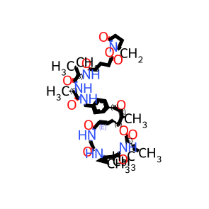 C=C1CCC(=O)N1OC(=O)CCCC(=O)N[C@H](C(=O)N[C@@H](C)C(=O)NCc1ccc([C@H]2O[C@@H]2[C@@H](C)[C@@H]2C/C=C/C(=O)NCC(=O)NC3(CC3)C(C)(C)C(=O)N[C@@H](CC(C)C)C(=O)O2)cc1)C(C)C